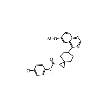 COc1ccc2ncnc(C3CCC4(CC3)C[C@@H]4C(=O)Nc3ccc(Cl)cc3)c2c1